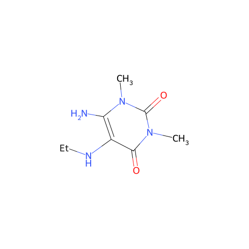 CCNc1c(N)n(C)c(=O)n(C)c1=O